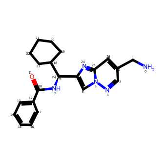 NCc1cnn2cc([C@@H](NC(=O)c3ccccc3)C3CCCCC3)nc2c1